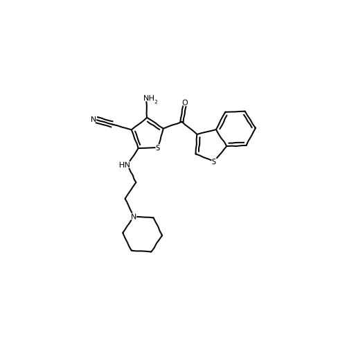 N#Cc1c(NCCN2CCCCC2)sc(C(=O)c2csc3ccccc23)c1N